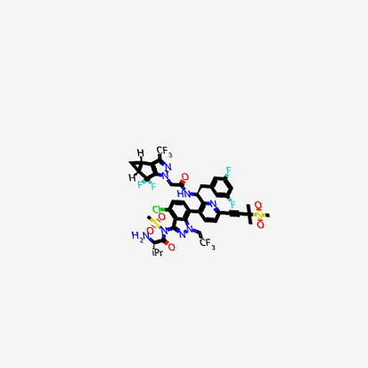 CC(C)[C@H](N)C(=O)N(c1nn(CC(F)(F)F)c2c(-c3ccc(C#CC(C)(C)S(C)(=O)=O)nc3[C@H](Cc3cc(F)cc(F)c3)NC(=O)Cn3nc(C(F)(F)F)c4c3C(F)(F)[C@@H]3C[C@H]43)ccc(Cl)c12)S(C)(=O)=O